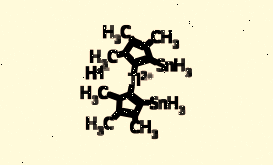 CC1=C(C)C(C)[C]([Ti+2][C]2=[C]([SnH3])C(C)=C(C)C2C)=[C]1[SnH3].[H-].[H-]